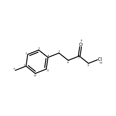 Cc1ccc(CCC(=O)CCl)cc1